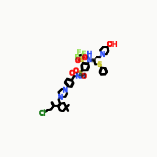 C=C(CCCl)C1=C(CN2CCN(c3ccc(C(=O)NS(=O)(=O)c4ccc(N[C@H](CCN5CCC(O)CC5)CSc5ccccc5)c(S(=O)(=O)C(F)(F)F)c4)cc3)CC2)CC(C)(C)CC1